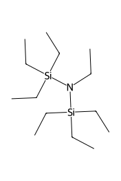 CCN([Si](CC)(CC)CC)[Si](CC)(CC)CC